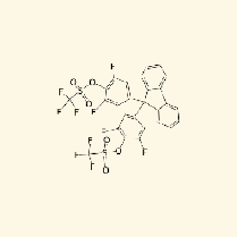 O=S(=O)(Oc1c(F)cc(C2(c3cc(F)c(OS(=O)(=O)C(F)(F)F)c(F)c3)c3ccccc3-c3ccccc32)cc1F)C(F)(F)F